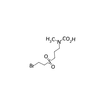 CN(CCCS(=O)(=O)CCBr)C(=O)O